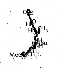 CC#CC[C@@H](C/C=C\NC(=O)C(NC(=O)\C=C/C=C\C(C)=C\[C@H](C)[C@@H]1CC=C(OC)C(=O)O1)C(C)(C)C)OC(=O)NCCCNC(=O)CCCCCN1C(=O)C=CC1=O